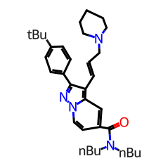 CCCCN(CCCC)C(=O)c1ccn2nc(-c3ccc(C(C)(C)C)cc3)c(/C=C/CN3CCCCC3)c2c1